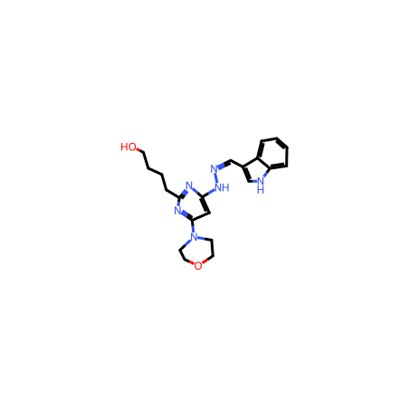 OCCCCc1nc(N/N=C\c2c[nH]c3ccccc23)cc(N2CCOCC2)n1